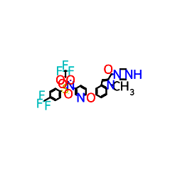 Cn1c(C(=O)N2CCNCC2)cc2cc(Oc3ccc(N(OC(=O)C(F)(F)F)S(=O)(=O)c4ccc(C(F)(F)F)cc4)cn3)ccc21